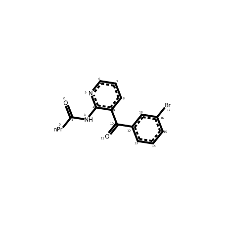 CCCC(=O)Nc1ncccc1C(=O)c1cccc(Br)c1